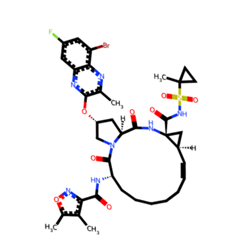 Cc1nc2c(Br)cc(F)cc2nc1O[C@@H]1C[C@H]2C(=O)N[C@]3(C(=O)NS(=O)(=O)C4(C)CC4)C[C@H]3/C=C\CCCCC[C@H](NC(=O)c3noc(C)c3C)C(=O)N2C1